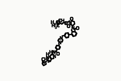 CN1CCC[C@@H]1c1cc2cnc(NC(=O)c3ccc(N4CCN(Cc5ccc(-c6cccc7c6CN(C6CCC(=O)N(COCC[Si](C)(C)C)C6=O)C7=O)cc5)CC4)cc3)cc2[nH]1